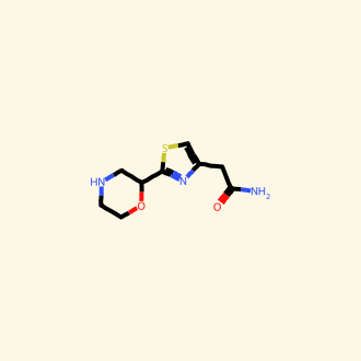 NC(=O)Cc1csc(C2CNCCO2)n1